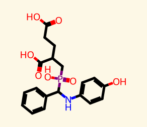 O=C(O)CCC(CP(=O)(O)C(Nc1ccc(O)cc1)c1ccccc1)C(=O)O